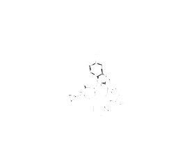 N[C@@H]1CN(c2nc3cc(F)c(F)cc3n2C2CCN(C3CC3)C2=O)CC[C@H]1F